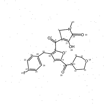 CN1CC(C(=O)c2oc(C(=O)N3CCOCC3)cc2Cc2ccc(F)cc2)=C(O)C1=O